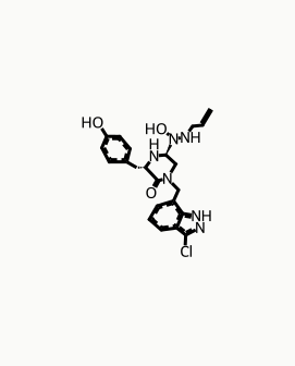 C=CCNN(O)[C@H]1CN(Cc2cccc3c(Cl)n[nH]c23)C(=O)[C@H](Cc2ccc(O)cc2)N1